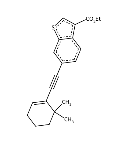 CCOC(=O)c1csc2cc(C#CC3=CCCCC3(C)C)ccc12